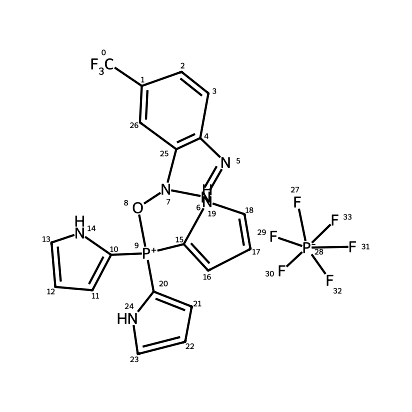 FC(F)(F)c1ccc2nnn(O[P+](c3ccc[nH]3)(c3ccc[nH]3)c3ccc[nH]3)c2c1.F[P-](F)(F)(F)(F)F